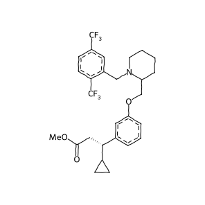 COC(=O)C[C@H](c1cccc(OCC2CCCCN2Cc2cc(C(F)(F)F)ccc2C(F)(F)F)c1)C1CC1